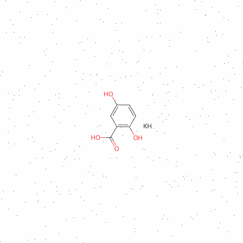 O=C(O)c1cc(O)ccc1O.[KH]